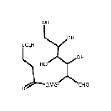 COC(=O)CCC(=O)O.O=CC(O)C(O)C(O)C(O)CO